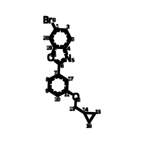 Brc1ccc2nc(-c3cccc(OCC4CC4)c3)oc2c1